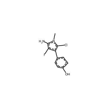 Cn1c(N)c(I)c(-c2ccc(O)cc2)c1Cl